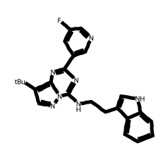 CC(C)(C)c1cnn2c(NCCc3c[nH]c4ccccc34)nc(-c3cncc(F)c3)nc12